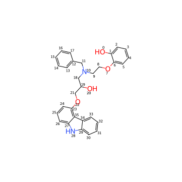 Oc1ccccc1OCCN(Cc1ccccc1)CC(O)COc1cccc2[nH]c3ccccc3c12